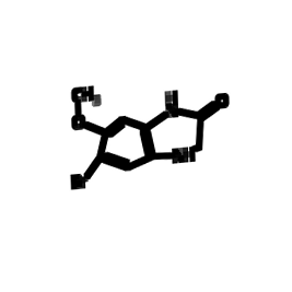 COc1cc2c(cc1Br)NCC(=O)N2